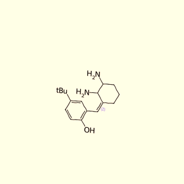 CC(C)(C)c1ccc(O)c(/C=C2/CCCC(N)C2N)c1